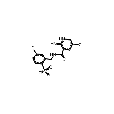 CCS(=O)(=O)c1ccc(F)cc1CNC(=O)c1cc(Cl)c[nH]c1=N